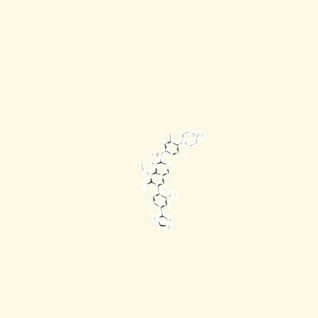 CCn1c(=O)c(-c2ccc(-c3nnco3)cc2Cl)cc2cnc(Nc3ccc(N4CCNCC4)c(C)c3)nc21